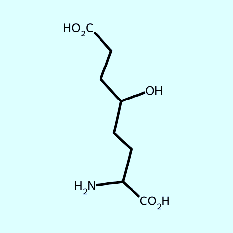 NC(CCC(O)CCC(=O)O)C(=O)O